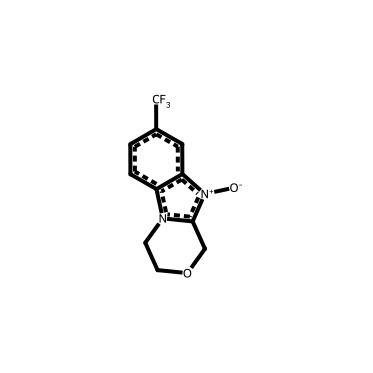 [O-][n+]1c2n(c3ccc(C(F)(F)F)cc31)CCOC2